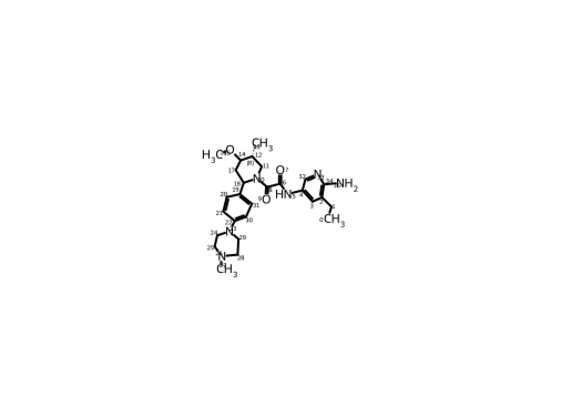 CCc1cc(NC(=O)C(=O)N2C[C@@H](C)C(OC)CC2c2ccc(N3CCN(C)CC3)cc2)cnc1N